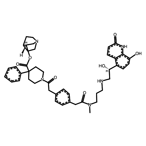 CN(CCCNC[C@H](O)c1ccc(O)c2[nH]c(=O)ccc12)C(=O)Cc1ccc(CC(=O)N2CCC(C(=O)O[C@H]3CN4CCC3CC4)(c3ccccc3)CC2)cc1